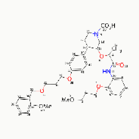 COCCCOc1ccccc1NC(=O)C(C)OC1CN(C(=O)O)CCC1c1ccc(OCCCOCc2ccccc2OC)cc1